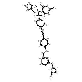 OC(Cn1cnnn1)(c1ccc(F)cc1F)C(F)(F)c1ccc(C#Cc2ccc(OCc3cccc(Cn4ccc(Cl)n4)c3)cc2)cn1